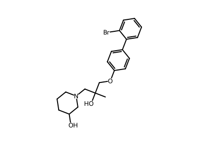 CC(O)(COc1ccc(-c2ccccc2Br)cc1)CN1CCCC(O)C1